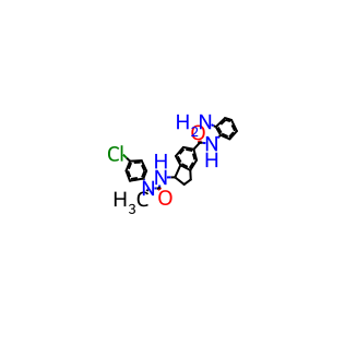 CN(C(=O)NC1CCc2cc(C(=O)Nc3ccccc3N)ccc21)c1ccc(Cl)cc1